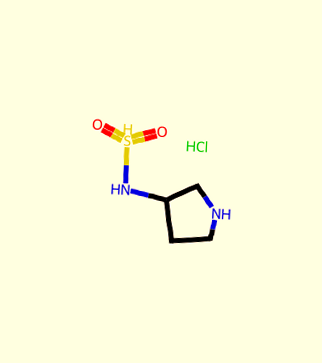 Cl.O=[SH](=O)NC1CCNC1